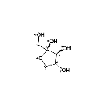 OC[C@@]1(O)O[CH][C@@H](O)[C@@H]1O